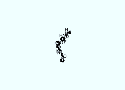 O=C(Nc1ccc(Oc2ccnc3cc(-c4cn(CCC(=O)N5CCCC5)nn4)sc23)c(F)c1)NC1CC1